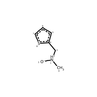 C[NH+]([O-])Cc1cccs1